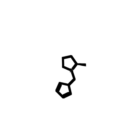 C[C@@H]1CCCN1CC1C=CC=C1